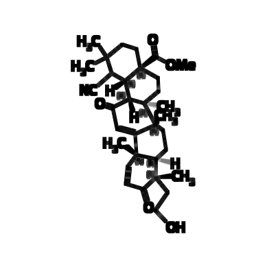 COC(=O)[C@]12CCC(C)(C)C(C#N)[C@H]1[C@H]1C(=O)C=C3[C@@]4(C)C=CC(=O)[C@@](C)(CCO)[C@@H]4CC[C@@]3(C)[C@]1(C)CC2